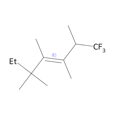 CCC(C)(C)/C(C)=C(\C)C(C)C(F)(F)F